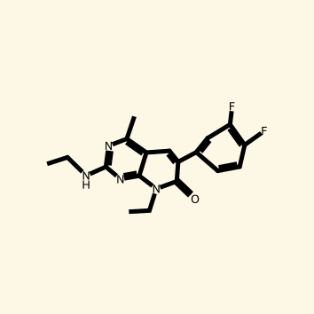 CCNc1nc(C)c2cc(-c3ccc(F)c(F)c3)c(=O)n(CC)c2n1